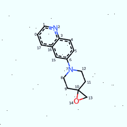 c1cnc2ccc(N3CCC4(CC3)CO4)cc2c1